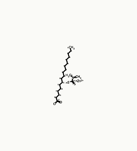 CCCCCCCCCCCCCCCCCC(=O)[O-].CN(C)C(=S)[S-].[Zn+2]